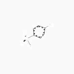 CC(=O)c1ccc(S(=O)(=O)I)cc1